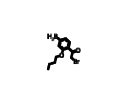 Bc1ccc(C(=O)CBr)c(OCCCC)c1